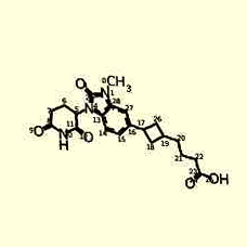 Cn1c(=O)n(C2CCC(=O)NC2=O)c2ccc(C3CC(CCCC(=O)O)C3)cc21